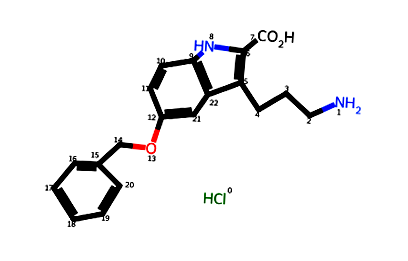 Cl.NCCCc1c(C(=O)O)[nH]c2ccc(OCc3ccccc3)cc12